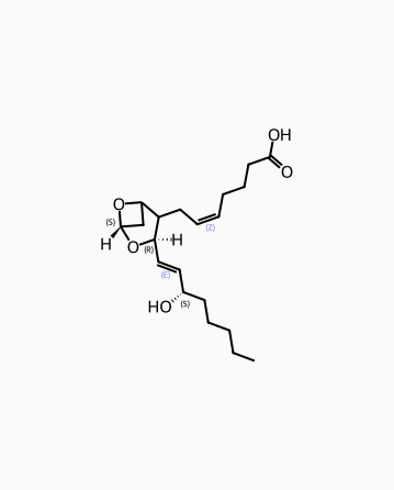 CCCCC[C@H](O)/C=C/[C@H]1O[C@H]2CC(O2)C1C/C=C\CCCC(=O)O